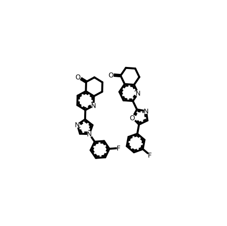 O=C1CCCc2nc(-c3cn(-c4cccc(F)c4)cn3)ccc21.O=C1CCCc2nc(-c3ncc(-c4cccc(F)c4)o3)ccc21